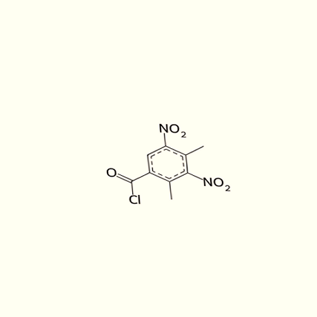 Cc1c(C(=O)Cl)cc([N+](=O)[O-])c(C)c1[N+](=O)[O-]